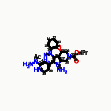 CC(=O)N(N)C1=CC(c2c(N(N)c3ccccc3)c3c(n2N)CN(C(=O)OC(C)C)CC3=O)=CCN1